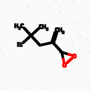 C=C(CC(C)(C)CC)[C]1OO1